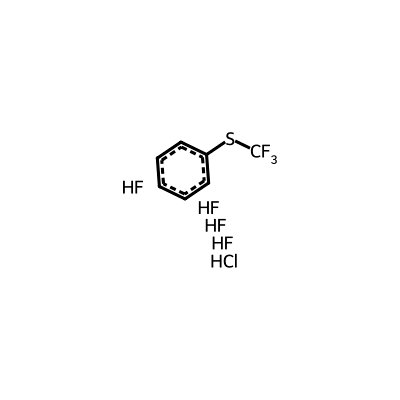 Cl.F.F.F.F.FC(F)(F)Sc1ccccc1